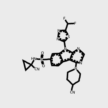 N#CC1CCN(c2ncnc3c2c2ccc(S(=O)(=O)NC4(C#N)CC4)cc2n3-c2nnc(C(F)F)s2)CC1